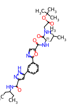 CCC(CC)NC(=O)c1cc(-c2cccc(-c3ncc(C(=O)N[C@@H](CC(C)C)C(=O)NCC(=O)OC(C)(C)C)o3)c2)[nH]n1